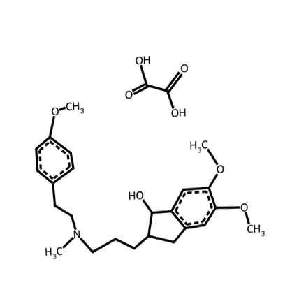 COc1ccc(CCN(C)CCCC2Cc3cc(OC)c(OC)cc3C2O)cc1.O=C(O)C(=O)O